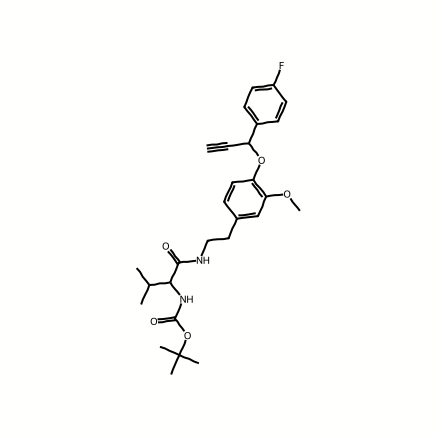 C#CC(Oc1ccc(CCNC(=O)C(NC(=O)OC(C)(C)C)C(C)C)cc1OC)c1ccc(F)cc1